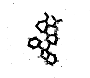 CCC1CCCC(n2nc(-c3c(-c4ccccc4)nn4ccccc34)ccc2=O)=C1C(=O)N(C)C